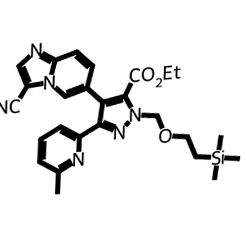 CCOC(=O)c1c(-c2ccc3ncc(C#N)n3c2)c(-c2cccc(C)n2)nn1COCC[Si](C)(C)C